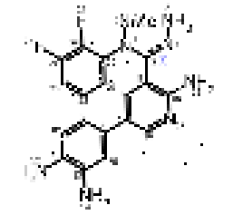 CNN(/C(=N\N)c1cc(-c2ccc(N)c(N)c2)cnc1N)c1cccc(F)c1F